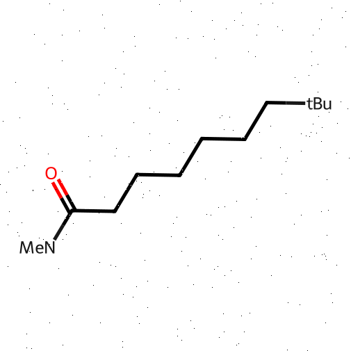 CNC(=O)CCCCCCC(C)(C)C